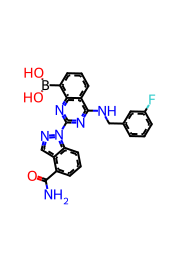 NC(=O)c1cccc2c1cnn2-c1nc(NCc2cccc(F)c2)c2cccc(B(O)O)c2n1